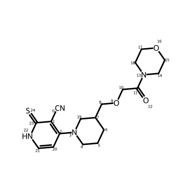 N#Cc1c(N2CCCC(COCC(=O)N3CCOCC3)C2)cc[nH]c1=S